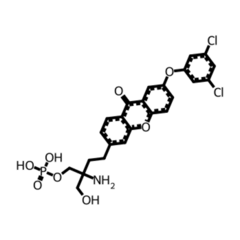 NC(CO)(CCc1ccc2c(=O)c3cc(Oc4cc(Cl)cc(Cl)c4)ccc3oc2c1)COP(=O)(O)O